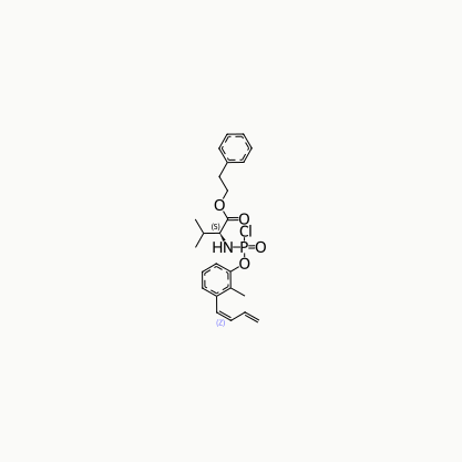 C=C/C=C\c1cccc(OP(=O)(Cl)N[C@H](C(=O)OCCc2ccccc2)C(C)C)c1C